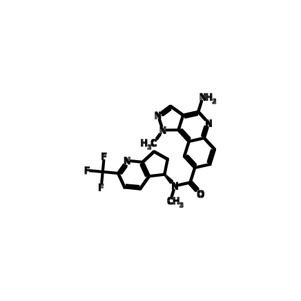 CN(C(=O)c1ccc2nc(N)c3cnn(C)c3c2c1)[C@@H]1CCc2nc(C(F)(F)F)ccc21